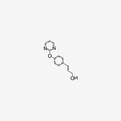 OC/C=C/c1ccc(Oc2ncccn2)cc1